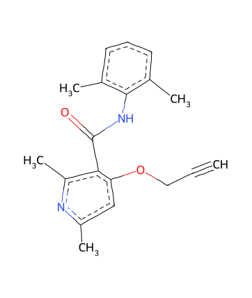 C#CCOc1cc(C)nc(C)c1C(=O)Nc1c(C)cccc1C